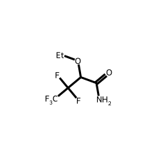 CCOC(C(N)=O)C(F)(F)C(F)(F)F